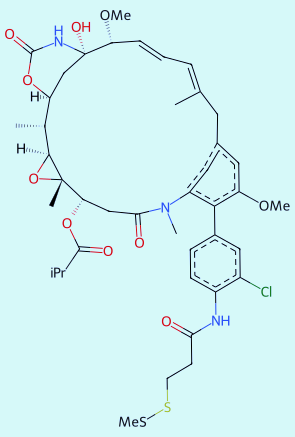 COc1cc2cc(c1-c1ccc(NC(=O)CCSSC)c(Cl)c1)N(C)C(=O)C[C@H](OC(=O)C(C)C)[C@]1(C)O[C@H]1[C@H](C)[C@@H]1C[C@@](O)(NC(=O)O1)[C@H](OC)/C=C/C=C(\C)C2